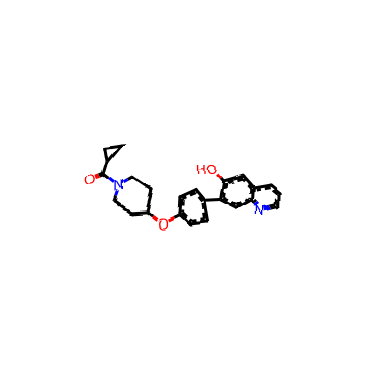 O=C(C1CC1)N1CCC(Oc2ccc(-c3cc4ncccc4cc3O)cc2)CC1